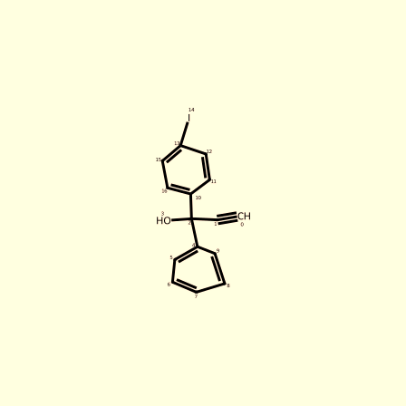 C#CC(O)(c1ccccc1)c1ccc(I)cc1